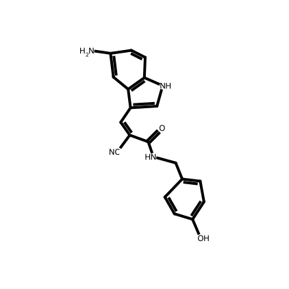 N#CC(=Cc1c[nH]c2ccc(N)cc12)C(=O)NCc1ccc(O)cc1